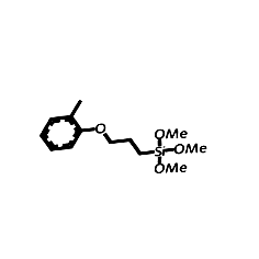 CO[Si](CCCOc1ccccc1C)(OC)OC